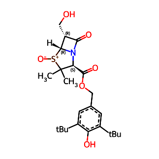 CC(C)(C)c1cc(COC(=O)[C@@H]2N3C(=O)[C@@H](CO)[C@H]3[S+]([O-])C2(C)C)cc(C(C)(C)C)c1O